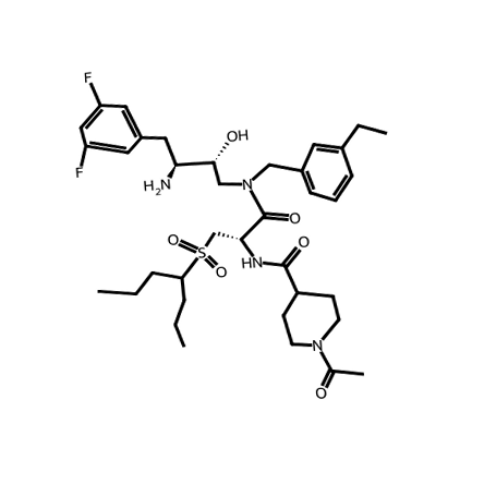 CCCC(CCC)S(=O)(=O)C[C@@H](NC(=O)C1CCN(C(C)=O)CC1)C(=O)N(Cc1cccc(CC)c1)C[C@@H](O)[C@@H](N)Cc1cc(F)cc(F)c1